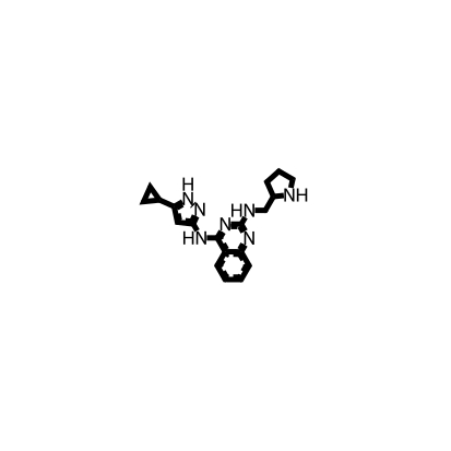 c1ccc2c(Nc3cc(C4CC4)[nH]n3)nc(NCC3CCCN3)nc2c1